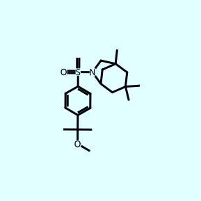 C=S(=O)(c1ccc(C(C)(C)OC)cc1)N1CC2(C)CC1CC(C)(C)C2